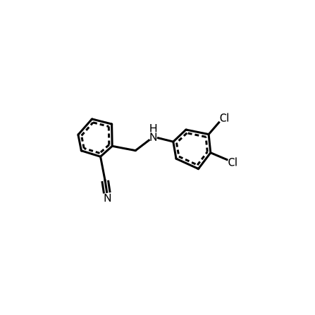 N#Cc1ccccc1CNc1ccc(Cl)c(Cl)c1